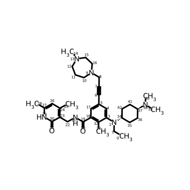 CCN(c1cc(C#CCN2CCCN(C)CC2)cc(C(=O)NCc2c(C)cc(C)[nH]c2=O)c1C)[C@H]1CC[C@H](N(C)C)CC1